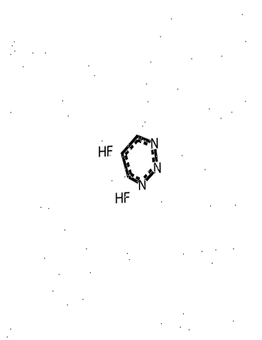 F.F.c1cnnnc1